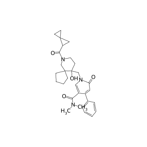 CN(C)C(=O)c1cn(CC2(O)CCN(C(=O)C3CC34CC4)CC23CCCC3)c(=O)cc1-c1ccccc1